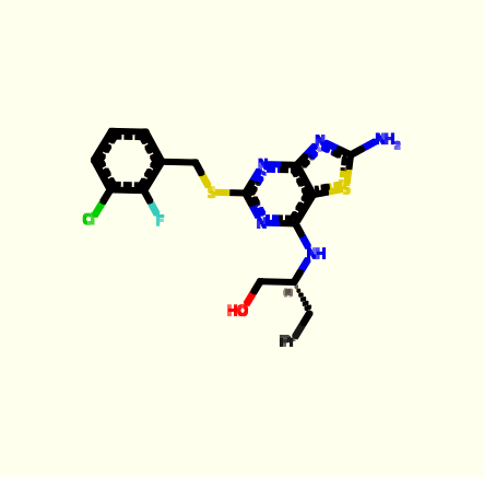 CC(C)C[C@H](CO)Nc1nc(SCc2cccc(Cl)c2F)nc2nc(N)sc12